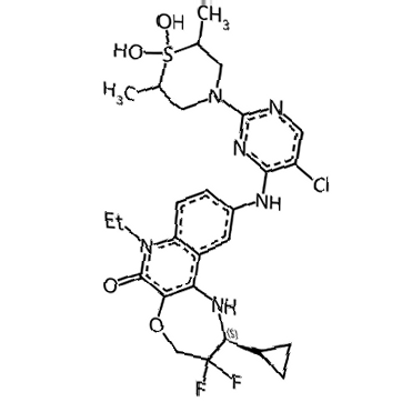 CCn1c(=O)c2c(c3cc(Nc4nc(N5CC(C)S(O)(O)C(C)C5)ncc4Cl)ccc31)N[C@@H](C1CC1)C(F)(F)CO2